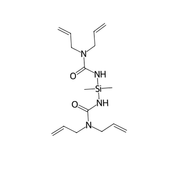 C=CCN(CC=C)C(=O)N[Si](C)(C)NC(=O)N(CC=C)CC=C